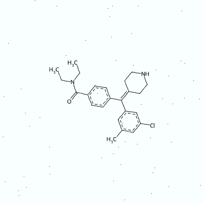 CCN(CC)C(=O)c1ccc(C(=C2CCNCC2)c2cc(C)cc(Cl)c2)cc1